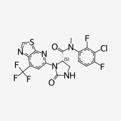 CN(C(=O)[C@@H]1CNC(=O)N1c1cc(C(F)(F)F)c2ncsc2n1)c1ccc(F)c(Cl)c1F